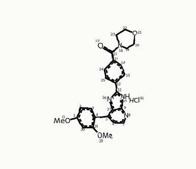 COc1ccc(-c2ccnc3[nH]c(-c4ccc(C(=O)N5CCOCC5)cc4)nc23)c(OC)c1.Cl